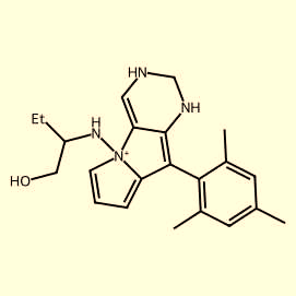 CCC(CO)N[N+]12C=CC=C1C(c1c(C)cc(C)cc1C)=C1NCNC=C12